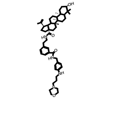 C=C(C)[C@@H]1CC[C@]2(C(=O)NCCc3cccc(C(=O)NCc4ccc(NCCCN5CCOCC5)cc4)c3)CC[C@]3(C)C(CCC4[C@@]5(C)CC[C@H](O)C(C)(C)C5CC[C@]43C)C12